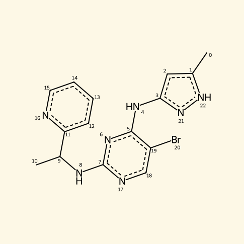 Cc1cc(Nc2nc(NC(C)c3ccccn3)ncc2Br)n[nH]1